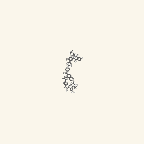 Cc1ncsc1-c1ccc([C@H](C)NC(=O)[C@@H]2C[C@@H](O)CN2C(=O)[C@@H](NC(=O)CN2CCC3(CCC(C(=O)N4CCN(c5ncc(-c6cc(NC(=O)c7ccc(F)cc7C(F)(F)F)c(N7C[C@@H](C)N(C)[C@@H](C)C7)cc6F)cn5)CC4)CC3)CC2)C(C)(C)C)cc1